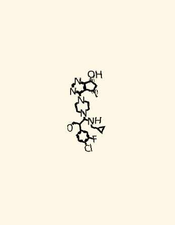 C[C@@H]1C[C@@H](O)c2ncnc(N3CCN(C(NCC4CC4)C(C=O)c4ccc(Cl)c(F)c4)CC3)c21